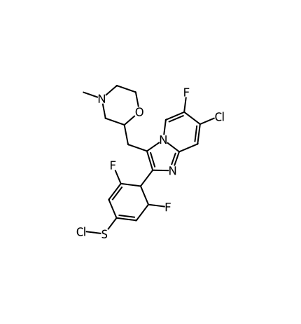 CN1CCOC(Cc2c(C3C(F)=CC(SCl)=CC3F)nc3cc(Cl)c(F)cn23)C1